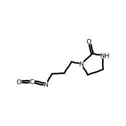 O=C=NCCCN1CCNC1=O